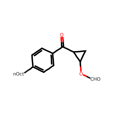 CCCCCCCCc1ccc(C(=O)C2CC2OC=O)cc1